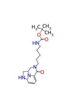 CC(C)(C)OC(=O)NCCCCCN1CC2CNC3C=CC=C(C1=O)N23